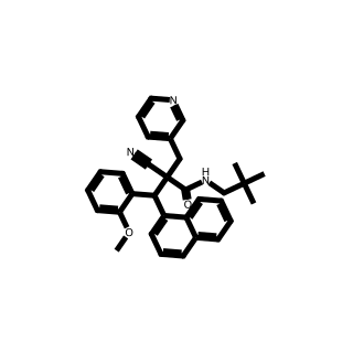 COc1ccccc1C(c1cccc2ccccc12)C(C#N)(Cc1cccnc1)C(=O)NCC(C)(C)C